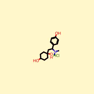 CN(C)C(CC1(O)CCC(O)CC1)c1ccc(O)cc1.Cl